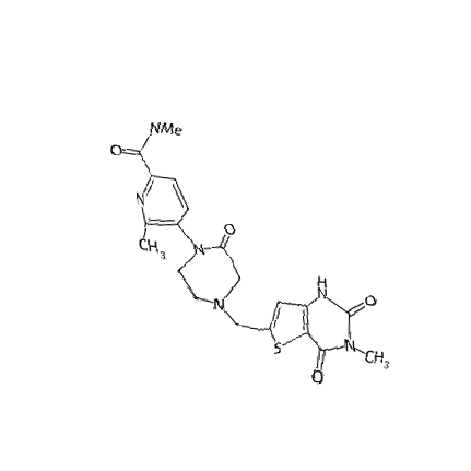 CNC(=O)c1ccc(N2CCN(Cc3cc4[nH]c(=O)n(C)c(=O)c4s3)CC2=O)c(C)n1